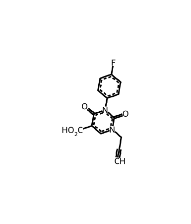 C#CCn1cc(C(=O)O)c(=O)n(-c2ccc(F)cc2)c1=O